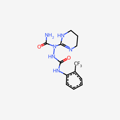 NC(=O)N(NC(=O)Nc1ccccc1C(F)(F)F)C1=NCCCN1